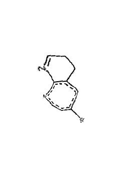 Brc1cnc2c(c1)CCC=N2